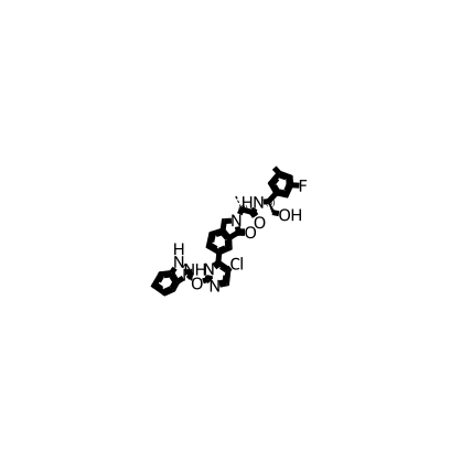 Cc1cc(F)cc([C@@H](CO)NC(=O)[C@@H](C)N2Cc3ccc(-c4nc(ON5NNc6ccccc65)ncc4Cl)cc3C2=O)c1